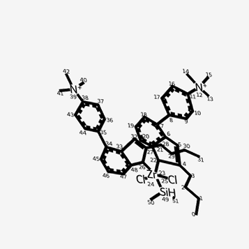 CCCCC1=Cc2c(-c3ccc([N+](C)(C)C)cc3)cccc2[CH]1[Zr]([Cl])([Cl])([CH]1C(CCCC)=Cc2c(-c3ccc([N+](C)(C)C)cc3)cccc21)[SiH](C)C